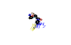 N#Cc1cccc(F)c1Oc1cc([C@H]2CC(=O)N(c3ccc(NS)c(N)c3)C2)ccc1Br